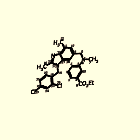 CCOC(=O)c1cccc(N(C)Cc2cc(C)c3nc(C)n(Cc4ccc(Cl)cc4Cl)c3c2)c1